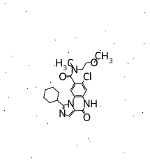 COCCN(C)C(=O)c1cc2c(cc1Cl)[nH]c(=O)c1cnc(C3CCCCC3)n12